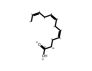 C/C=C\C/C=C\C/C=C\CCC(=O)O